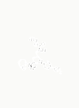 CC(C)(C)OC(=O)NCC1Cc2c(cnn2C2CCCCO2)N(c2ccc(C(F)(F)F)cc2)C1